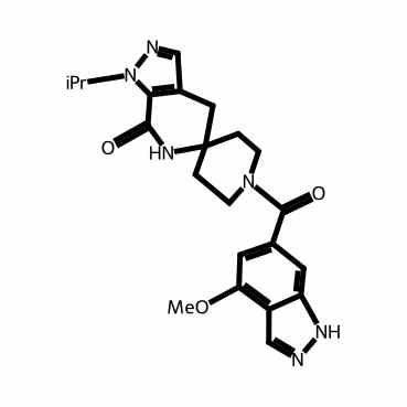 COc1cc(C(=O)N2CCC3(CC2)Cc2cnn(C(C)C)c2C(=O)N3)cc2[nH]ncc12